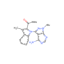 CNC(=O)c1c(C)c2ccccc2n1-c1nn(C(C)(C)C)c2ncnc(N)c12